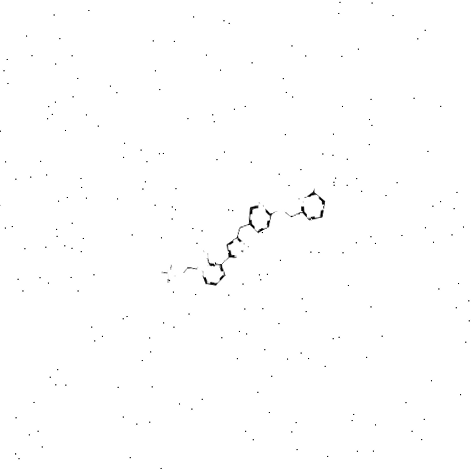 Nc1c(-c2cc(Cc3ccc(OCc4cccc(F)n4)nc3)no2)ccc[n+]1COP(=O)([O-])O